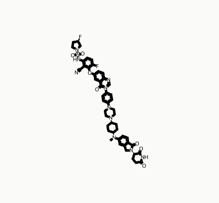 CN(c1ccc2c(c1)CN([C@H]1CCC(=O)NC1=O)C2=O)[C@H]1CC[C@@H](N2CCN(c3ccc(-n4cnc5ccc(Oc6c(F)ccc(NS(=O)(=O)N7CC[C@@H](F)C7)c6C#N)cc5c4=O)cc3)CC2)CC1